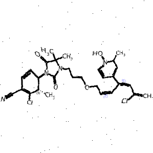 C=C(Cl)/C=C(\C=C/COCCCN1C(=O)N(C2C=CC(C#N)=C(Cl)[C@H]2C)C(=O)C1(C)C)C1=CC(C)N(O)C=C1